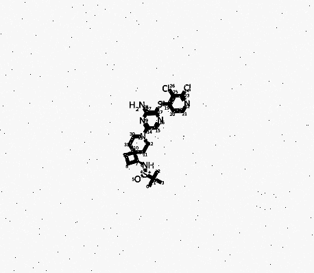 CC(C)(C)[S+]([O-])N[C@H]1CCC12CCN(c1cnc(Sc3ccnc(Cl)c3Cl)c(N)n1)CC2